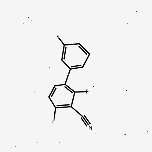 Cc1cccc(-c2ccc(F)c(C#N)c2F)c1